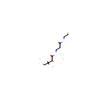 CC(C)(COS(=O)(=O)O)C(O)C(=O)NCCC(=O)NCCS.[NaH]